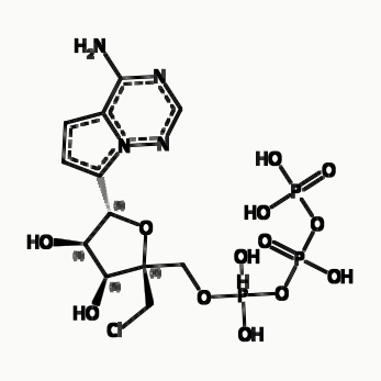 Nc1ncnn2c([C@@H]3O[C@](CCl)(CO[PH](O)(O)OP(=O)(O)OP(=O)(O)O)[C@@H](O)[C@H]3O)ccc12